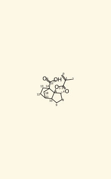 C=C(C)C(=O)OC12CCCC1C1CCC2(C(=O)O)C1